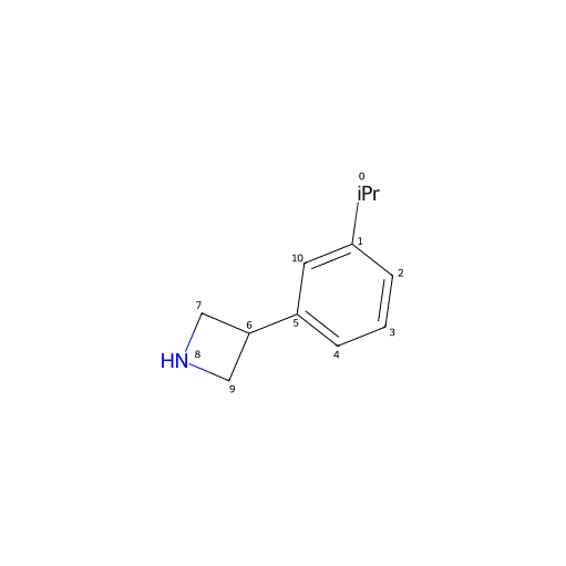 CC(C)c1cccc(C2CNC2)c1